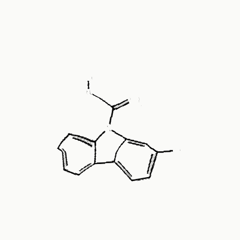 C=C(NCC)n1c2ccccc2c2ccc(O)cc21